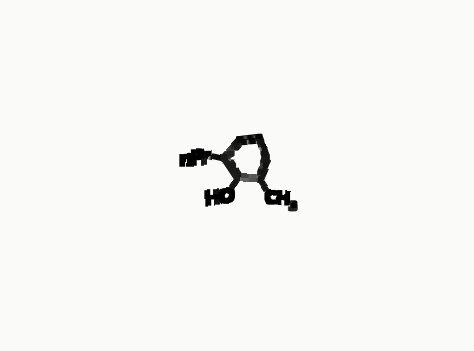 [CH2]CCc1cccc(C)c1O